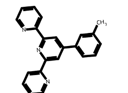 Cc1cccc(-c2cc(-c3ccccn3)nc(-c3ccccn3)c2)c1